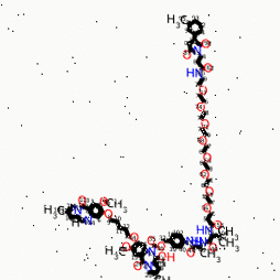 COc1cc2c(cc1OCCCCCOc1cc3c(cc1OC)C(=O)N1C=C(C)C[C@H]1[C@H](O)N3C(=O)OCc1ccc(NC(=O)[C@H](C)NC(=O)[C@@H](NC(=O)CCOCCOCCOCCOCCOCCOCCOCCOCCNC(=O)CCN3C(=O)CC(C4CCCC(C)C4)C3=O)C(C)C)cc1)N=C[C@@H]1CC(C)=CN1C2=O